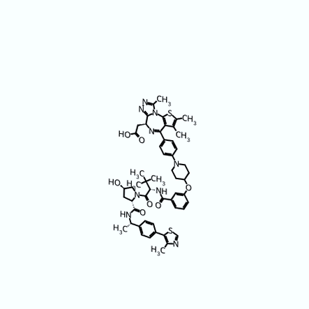 Cc1ncsc1-c1ccc([C@H](C)NC(=O)[C@@H]2C[C@@H](O)CN2C(=O)[C@@H](NC(=O)c2cccc(OC3CCN(c4ccc(C5=N[C@@H](CC(=O)O)c6nnc(C)n6-c6sc(C)c(C)c65)cc4)CC3)c2)C(C)(C)C)cc1